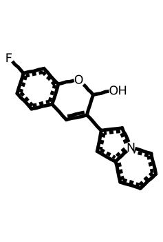 OC1Oc2cc(F)ccc2C=C1c1cc2ccccn2c1